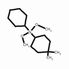 CO[Si](OC)(C1CCCCC1)C1CCC(C)(C)CC1